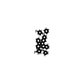 Fc1ccc(N(c2ccccc2)c2ccc3cc4c(cc3c2)C2(c3ccccc3-c3ccccc32)c2cc(N(c3ccccc3)c3ccc(F)cc3)c3ccccc3c2-4)cc1